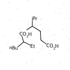 CC(C)C(C)CCC(=O)O.CCCCC(CC)C(=O)O